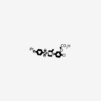 CC(C)Oc1ccc(S(=O)(=O)N2CCN(c3ccc(Cl)c(OCC(=O)O)c3)C(C)C2)cc1